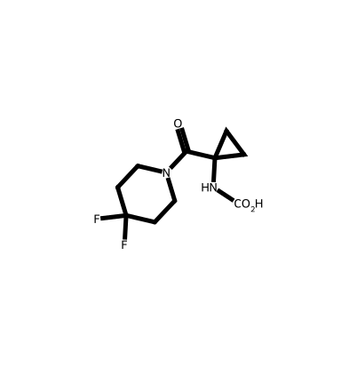 O=C(O)NC1(C(=O)N2CCC(F)(F)CC2)CC1